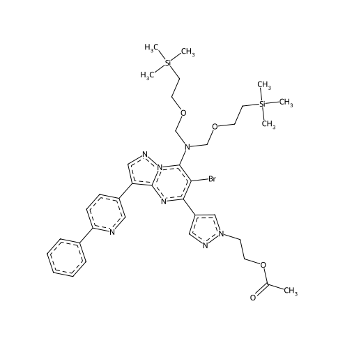 CC(=O)OCCn1cc(-c2nc3c(-c4ccc(-c5ccccc5)nc4)cnn3c(N(COCC[Si](C)(C)C)COCC[Si](C)(C)C)c2Br)cn1